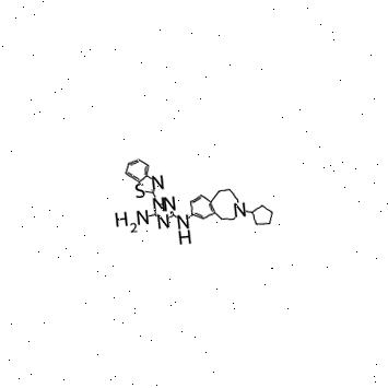 Nc1nc(Nc2ccc3c(c2)CCN(C2CCCC2)CCC3)nn1-c1nc2ccccc2s1